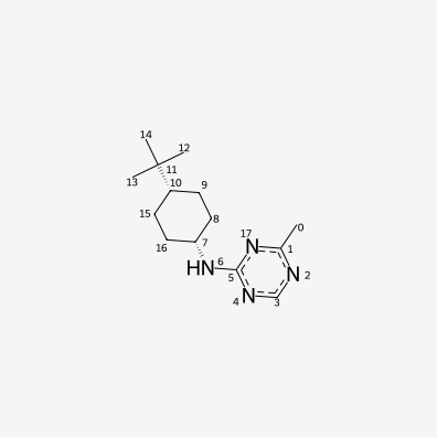 Cc1ncnc(N[C@H]2CC[C@@H](C(C)(C)C)CC2)n1